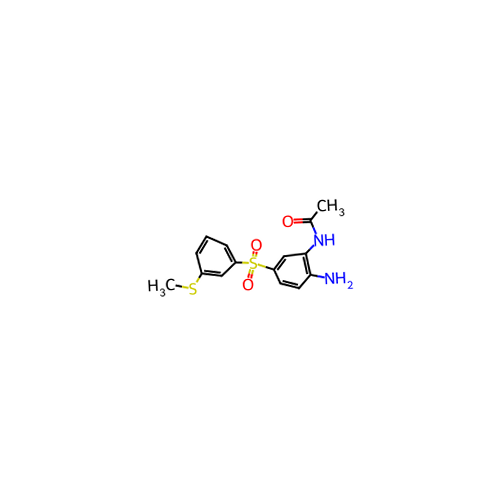 CSc1cccc(S(=O)(=O)c2ccc(N)c(NC(C)=O)c2)c1